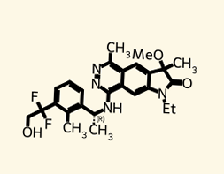 CCN1C(=O)C(C)(OC)c2cc3c(C)nnc(N[C@H](C)c4cccc(C(F)(F)CO)c4C)c3cc21